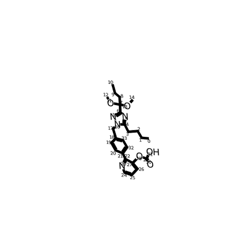 CCCCc1nc(C(CCC)(OC)OC)nn1Cc1ccc(-c2ncccc2OC(=O)O)cc1